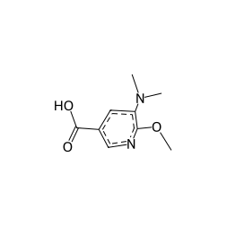 COc1ncc(C(=O)O)cc1N(C)C